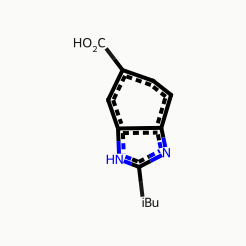 CCC(C)c1nc2ccc(C(=O)O)cc2[nH]1